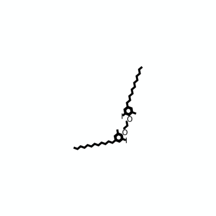 CCCCCCCCCCCCc1cc(C)c(OCCCOc2c(C)cc(CCCCCCCCCCCC)cc2I)c(I)c1